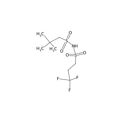 CC(C)(C)CS(=O)(=O)NS(=O)(=O)CCC(F)(F)F